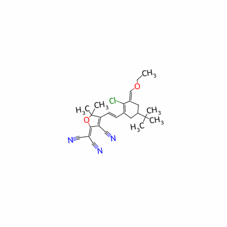 CCO/C=C1\CC(C(C)(C)C)CC(/C=C/C2=C(C#N)C(=C(C#N)C#N)OC2(C)C)=C1Cl